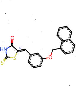 O=C1NC(=S)S/C1=C\c1cccc(OCc2cccc3ccccc23)c1